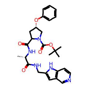 C[C@H](NC(=O)C1C[C@H](Oc2ccccc2)CN1C(=O)OC(C)(C)C)C(=O)NCc1cc2cnccc2[nH]1